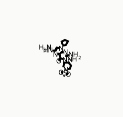 CS(=O)(=O)N1CCC(NC2(N)N=C3C(=NC(NN)=CN3C3CCCC3)C(=O)N2)CC1